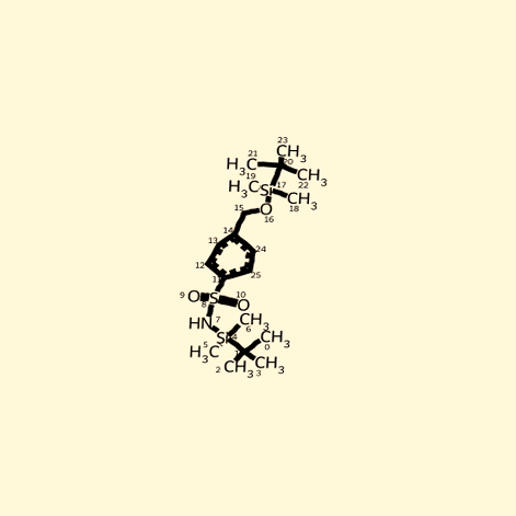 CC(C)(C)[Si](C)(C)NS(=O)(=O)c1ccc(CO[Si](C)(C)C(C)(C)C)cc1